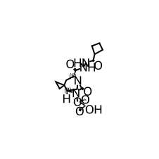 O=C(NNC(=O)[C@@H]1CC2(CC2)[C@@H]2CN1C(=O)N2OS(=O)(=O)O)C1CCC1